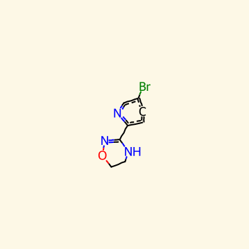 Brc1ccc(C2=NOCCN2)nc1